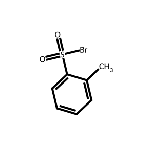 Cc1ccccc1S(=O)(=O)Br